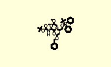 COC(CN(C(=O)[C@H](C)NC(=O)OC(C)(C)C)[C@@H](CCOCc1ccccc1)CO[Si](c1ccccc1)(c1ccccc1)C(C)(C)C)OC